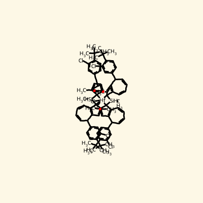 CC1=CC2=C(C=CC=CC2c2ccc(C(C)(C)C)c(Cl)c2)[C]12[SiH](C)[C]1(C(C)=CC3=C1C=CC=CC3c1ccc(C(C)(C)C)c(Cl)c1)[Hf]21([Cl])([Cl])[C]2(C(C)=CC3=C2C=CC=CC3c2ccc(C(C)(C)C)c(Cl)c2)[SiH](C)[C]12C(C)=CC1=C2C=CC=CC1c1ccc(C(C)(C)C)c(Cl)c1